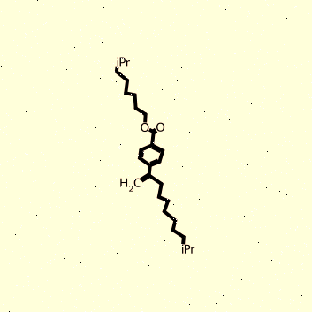 C=C(CCCCCCCC(C)C)c1ccc(C(=O)OCCCCCCC(C)C)cc1